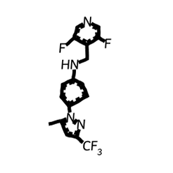 Cc1cc(C(F)(F)F)nn1-c1ccc(NCc2c(F)cncc2F)cc1